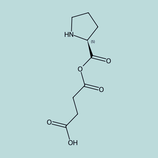 O=C(O)CCC(=O)OC(=O)[C@@H]1CCCN1